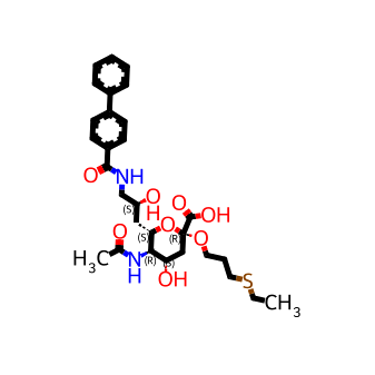 CCSCCCO[C@]1(C(=O)O)C[C@H](O)[C@@H](NC(C)=O)[C@H](C[C@H](O)CNC(=O)c2ccc(-c3ccccc3)cc2)O1